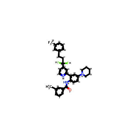 Cc1cccc(C(=O)Nc2ccc(N3CCCCC3)cc2-c2cc(C(F)(F)CCc3cccc(C(F)(F)F)c3)ccn2)c1